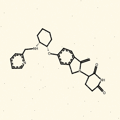 C=C1c2ccc(O[C@H]3CCCC[C@H]3NCc3ccccn3)cc2CN1C1CCC(=O)NC1=O